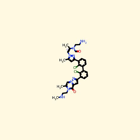 CNCCn1c(C)cn2nc(-c3cccc(-c4cccc(-c5cc(C)n(/C=C(/C)N(C=O)CCN)n5)c4Cl)c3Cl)cc2c1=O